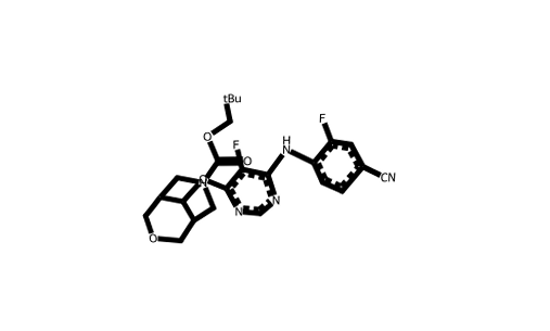 CC(C)(C)COC(=O)N1CC2COCC(C1)C2Oc1ncnc(Nc2ccc(C#N)cc2F)c1F